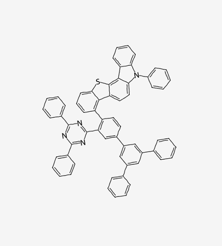 c1ccc(-c2cc(-c3ccccc3)cc(-c3ccc(-c4cccc5sc6c(ccc7c6c6ccccc6n7-c6ccccc6)c45)c(-c4nc(-c5ccccc5)nc(-c5ccccc5)n4)c3)c2)cc1